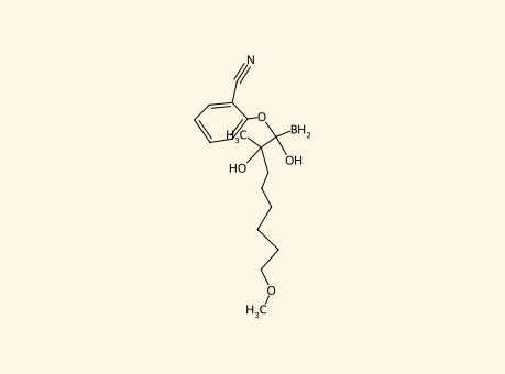 BC(O)(Oc1ccccc1C#N)C(C)(O)CCCCCCOC